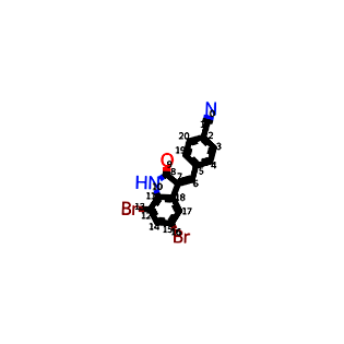 N#Cc1ccc(C=C2C(=O)Nc3c(Br)cc(Br)cc32)cc1